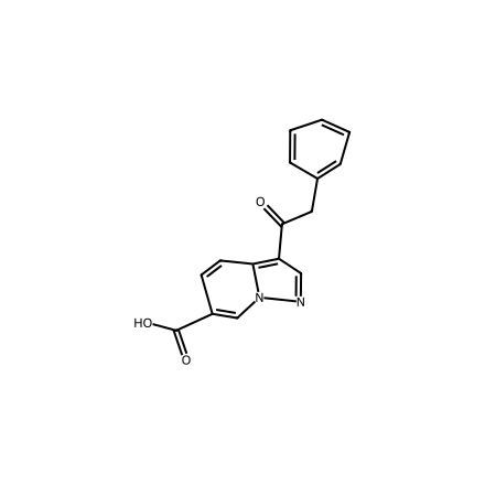 O=C(O)c1ccc2c(C(=O)Cc3ccccc3)cnn2c1